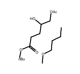 CCCCOC.CCCCOC(=O)CCC(O)COC(C)=O